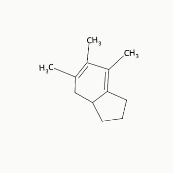 CC1=C(C)C(C)=C2CCCC2C1